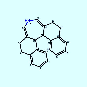 C1=C2CCc3ccccc3C2C2C(=CN1)CCc1ccccc12